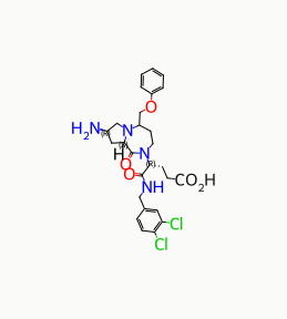 N[C@@H]1C[C@H]2C(=O)N([C@H](CCC(=O)O)C(=O)NCc3ccc(Cl)c(Cl)c3)CCC(COc3ccccc3)N2C1